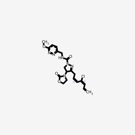 C=C/C=C(Cl)\C=C/CC1=NN(C(=O)NCc2ccc(OC)nn2)CC1N1CCOC1=O